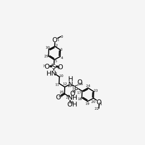 COc1ccc(S(=O)(=O)NCCC(NS(=O)(=O)c2ccc(OC)cc2)C(=O)NO)cc1